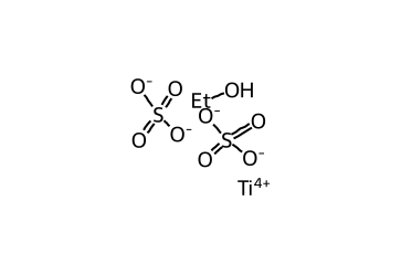 CCO.O=S(=O)([O-])[O-].O=S(=O)([O-])[O-].[Ti+4]